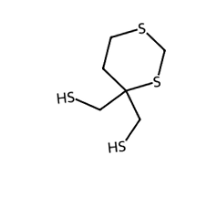 SCC1(CS)CCSCS1